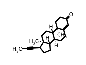 CC#CC1CC[C@H]2[C@@H]3CCC4=CC(=O)CC[C@]4(C)[C@H]3CC[C@]12C